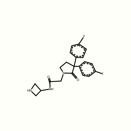 O=C(CN1CCC(c2ccc(F)cc2)(c2ccc(F)cc2)C1=O)NC1CNC1